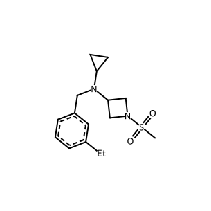 CCc1cccc(CN(C2CC2)C2CN(S(C)(=O)=O)C2)c1